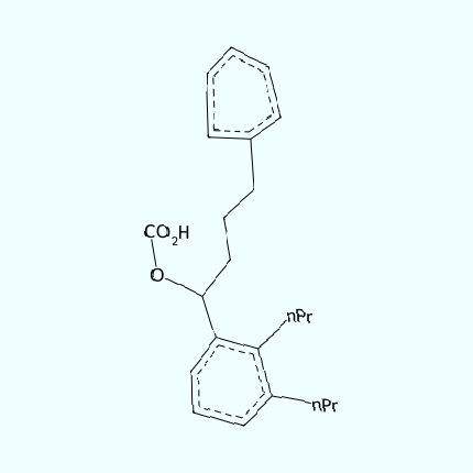 CCCc1cccc(C(CCCc2ccccc2)OC(=O)O)c1CCC